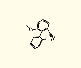 COc1cccc(C#N)c1-c1ccccc1C